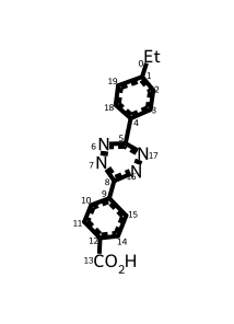 CCc1ccc(-c2nnc(-c3ccc(C(=O)O)cc3)nn2)cc1